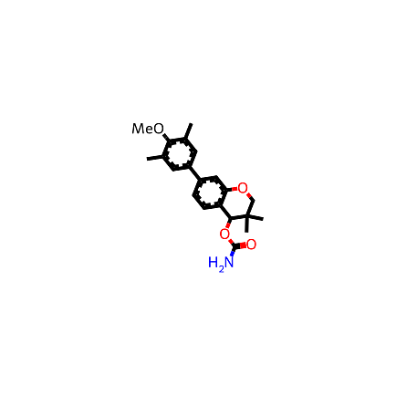 COc1c(C)cc(-c2ccc3c(c2)OCC(C)(C)C3OC(N)=O)cc1C